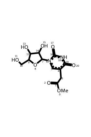 COC(=O)Cc1cn(C2OC(CO)C(O)C2O)c(=O)[nH]c1=O